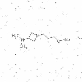 CCC(C)OCCCN1CC(N(C)C)C1